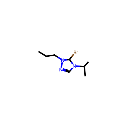 CCCN1N=CN(C(C)C)C1Br